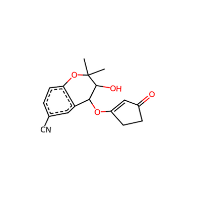 CC1(C)Oc2ccc(C#N)cc2C(OC2=CC(=O)CC2)C1O